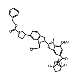 COc1cc(C(=O)N2C[C@H]3CC[C@@H]2[C@@H]3N)cc2nc(-c3cc4ccc(C5CCN(C(=O)OCc6ccccc6)C5)cc4n3CC3CC3)n(C)c12